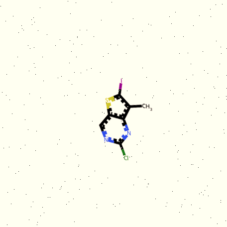 Cc1c(I)sc2cnc(Cl)nc12